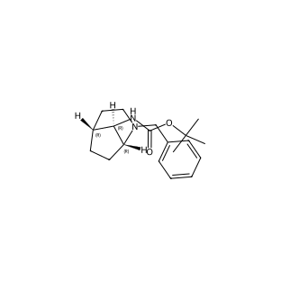 CC(C)(C)OC(=O)N[C@@H]1[C@@H]2CC[C@H]1N(Cc1ccccc1)CC2